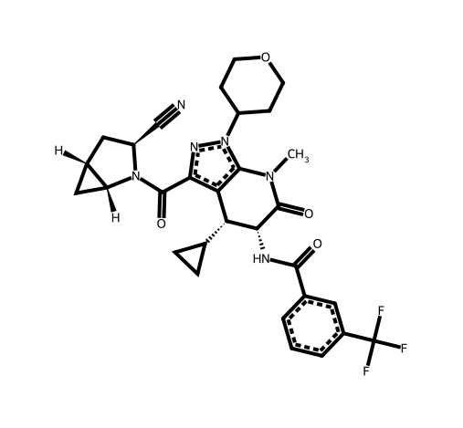 CN1C(=O)[C@H](NC(=O)c2cccc(C(F)(F)F)c2)[C@H](C2CC2)c2c(C(=O)N3[C@H](C#N)C[C@H]4C[C@H]43)nn(C3CCOCC3)c21